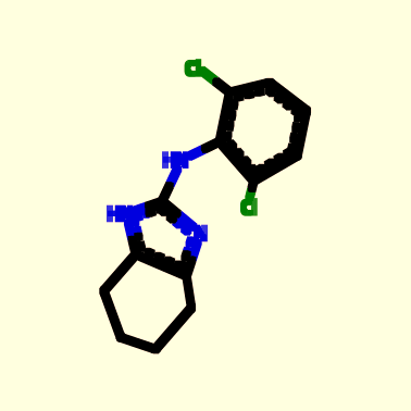 Clc1cccc(Cl)c1Nc1nc2c([nH]1)CCCC2